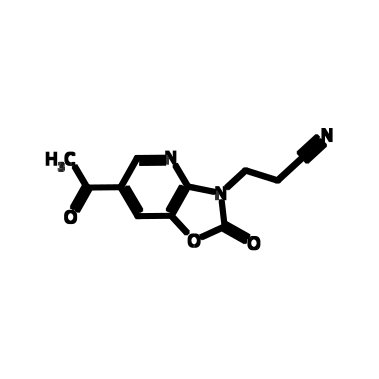 CC(=O)c1cnc2c(c1)oc(=O)n2CCC#N